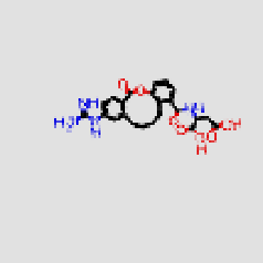 N=C(N)Nc1ccc2c(c1)CCCCc1c(cccc1C(=O)NC(CC(=O)O)C(=O)O)OC2=O